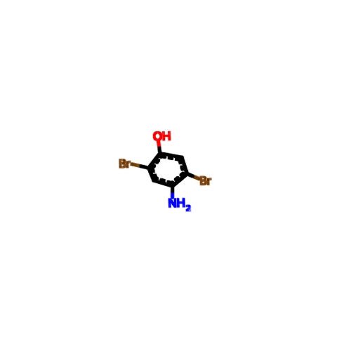 Nc1cc(Br)c(O)cc1Br